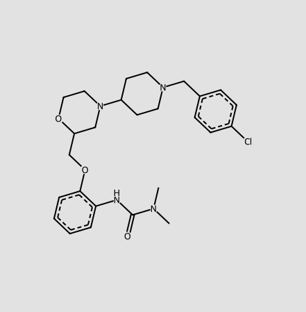 CN(C)C(=O)Nc1ccccc1OCC1CN(C2CCN(Cc3ccc(Cl)cc3)CC2)CCO1